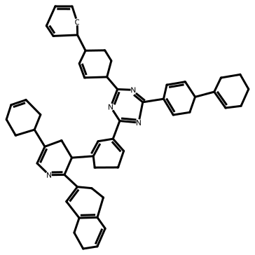 C1=CCC(C2C=CC(c3nc(C4=CCCC(C5CC(C6CC=CCC6)=CN=C5C5=CC6=C(C=CCC6)CC5)=C4)nc(C4=CCC(C5=CCCCC5)C=C4)n3)CC2)C=C1